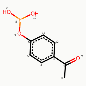 CC(=O)c1ccc(OP(O)O)cc1